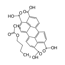 CCCCOC(C)=O.O=C(O)c1ccc2c3ccc(C(=O)O)c4c(C(=O)O)ccc(c5ccc(C(=O)O)c1c25)c43